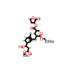 COCOC(=O)C(CC(C)C(=O)OC1CCOC1=O)CC1C(C)C2CC(C(O)CC(=O)OC(C)(C)C)C1C2